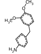 COc1ccc(Cc2ccc(N)cc2)cc1OC